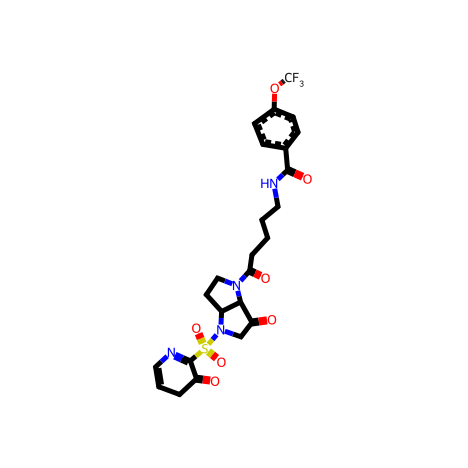 O=C1CC=CN=C1S(=O)(=O)N1CC(=O)C2C1CCN2C(=O)CCCCNC(=O)c1ccc(OC(F)(F)F)cc1